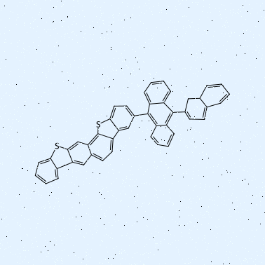 C1=CC2=CC=C(c3c4ccccc4c(-c4ccc5sc6c7cc8sc9ccccc9c8cc7ccc6c5c4)c4ccccc34)CC2C=C1